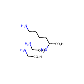 NCC(=O)O.NCC(=O)O.NCCCCC(N)C(=O)O